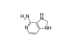 Nc1nccc2c1NCN2